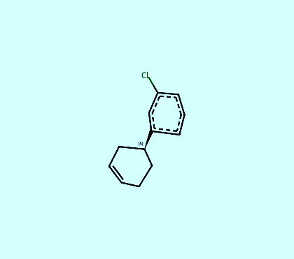 Clc1cccc([C@@H]2CC=CCC2)c1